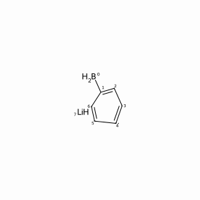 Bc1cc[c]cc1.[LiH]